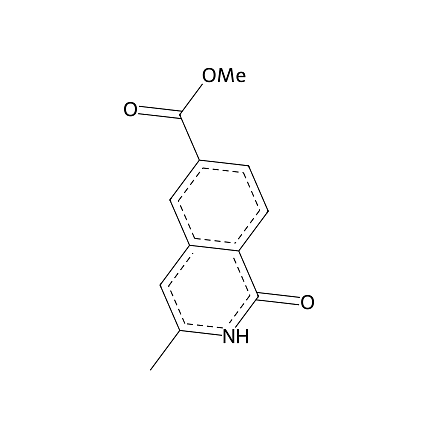 COC(=O)c1ccc2c(=O)[nH]c(C)cc2c1